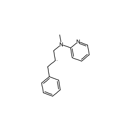 CN(C[CH]Cc1ccccc1)c1ccccn1